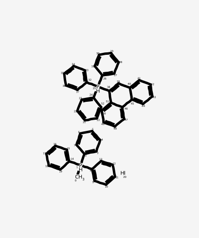 C[PH](c1ccccc1)(c1ccccc1)c1ccccc1.I.c1ccc([PH](c2ccccc2)(c2ccccc2)c2cc3ccccc3c3ccccc23)cc1